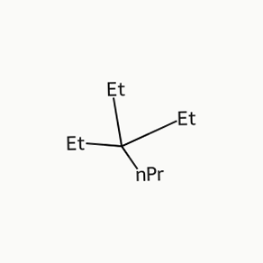 C[CH]CC(CC)(CC)CC